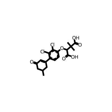 CC1CC(=O)C=C(c2ccc(OC(C(=O)O)C(C)(C)C(=O)O)c(Cl)c2Cl)C1